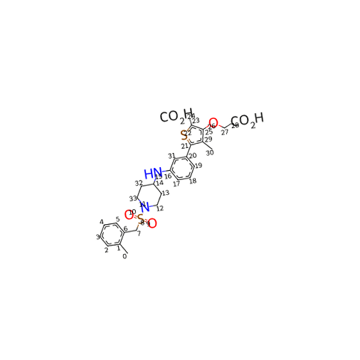 Cc1ccccc1CS(=O)(=O)N1CCC(Nc2cccc(-c3sc(C(=O)O)c(OCC(=O)O)c3C)c2)CC1